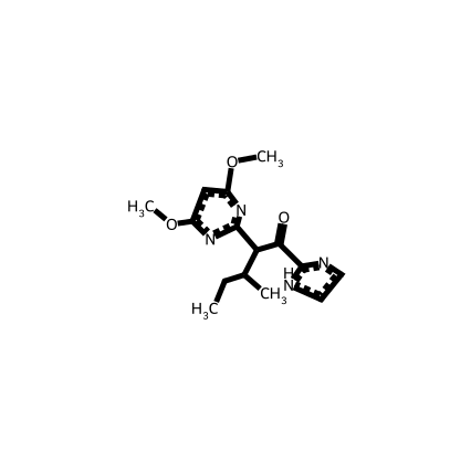 CCC(C)C(C(=O)c1ncc[nH]1)c1nc(OC)cc(OC)n1